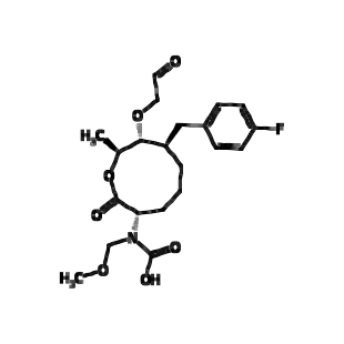 COCN(C(=O)O)[C@H]1CCC[C@H](Cc2ccc(F)cc2)[C@@H](OCC=O)[C@H](C)OC1=O